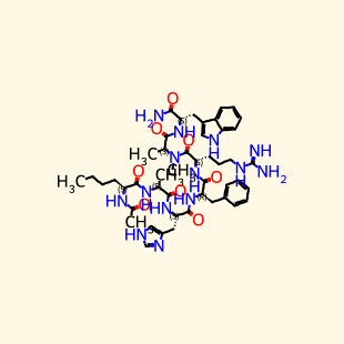 CCCC[C@H](NC(C)=O)C(=O)N[C@@H](C)C(=O)N[C@@H](Cc1c[nH]cn1)C(=O)N[C@H](Cc1ccccc1)C(=O)N[C@@H](CCCNC(=N)N)C(=O)N(C)[C@@H](C)C(=O)N[C@@H](Cc1c[nH]c2ccccc12)C(N)=O